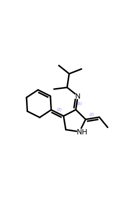 C\C=C1/NCC(=C2/C=CCCC2)/C1=N\C(C)C(C)C